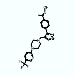 C/C(=N\O)c1ccc(-c2n[nH]cc2CN2CCN(c3ccc(C(F)(F)F)cn3)CC2)cc1